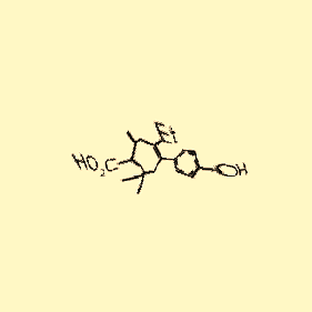 CCC1=C(c2ccc(O)cc2)CC(C)(C)C(C(=O)O)C1C